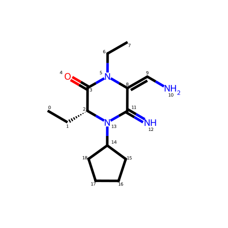 CC[C@@H]1C(=O)N(CC)/C(=C/N)C(=N)N1C1CCCC1